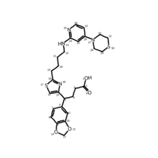 O=C(O)CCC(c1ccc2c(c1)OCO2)c1csc(CCCCNc2cc(N3CCSCC3)ccn2)n1